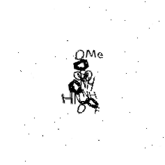 COc1ccc(S(=O)(=O)Nc2cccc3c2Nc2ccc(F)cc2C(=O)N3)cc1